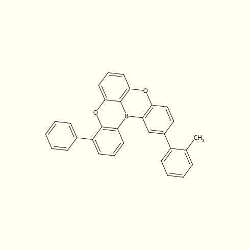 Cc1ccccc1-c1ccc2c(c1)B1c3cccc(-c4ccccc4)c3Oc3cccc(c31)O2